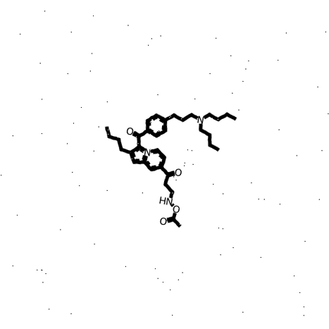 CCCCc1cc2cc(C(=O)CCNOC(C)=O)ccn2c1C(=O)c1ccc(CCCN(CCCC)CCCC)cc1